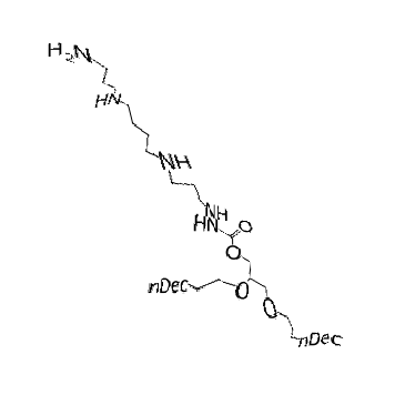 CCCCCCCCCCCCOCC(COC(=O)NNCCCNCCCCNCCCN)OCCCCCCCCCCCC